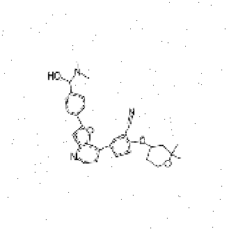 CN(C)C(O)c1ccc(-c2cc3nccc(-c4ccc(OC5CCOC(C)(C)C5)c(C#N)c4)c3o2)cc1